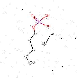 CCCCCCCCCCCCOP(=O)(O)O.C[C](C)(C)[Na]